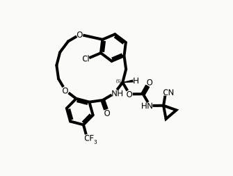 N#CC1(NC(=O)O[C@H]2Cc3ccc(c(Cl)c3)OCCCCOc3ccc(C(F)(F)F)cc3C(=O)N2)CC1